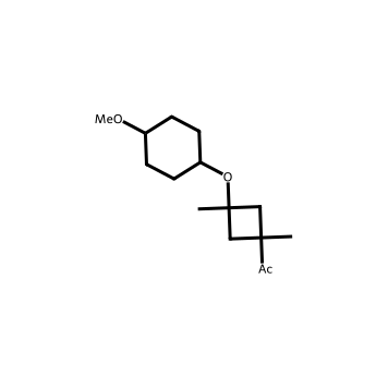 COC1CCC(OC2(C)CC(C)(C(C)=O)C2)CC1